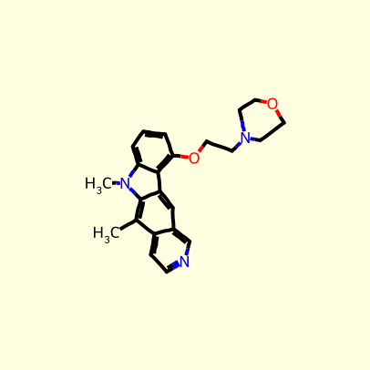 Cc1c2ccncc2cc2c3c(OCCN4CCOCC4)cccc3n(C)c12